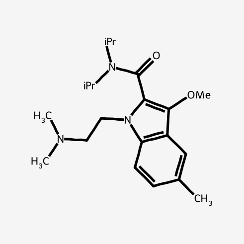 COc1c(C(=O)N(C(C)C)C(C)C)n(CCN(C)C)c2ccc(C)cc12